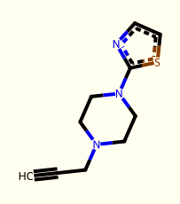 C#CCN1CCN(c2nccs2)CC1